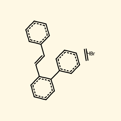 Br.C(=Cc1ccccc1-c1ccccc1)c1ccccc1.C=C